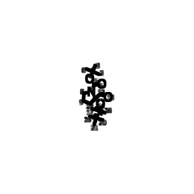 CC(C)(C)OC(=O)N1CCCC1(C=O)O[Si](C)(C)C(C)(C)C